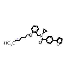 O=C(O)/C=C/CCCOc1ccccc1CN(C(=O)c1ccc(-c2ccco2)cc1)C1CC1